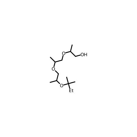 CCC(C)(C)OC(C)COC(C)COC(C)CO